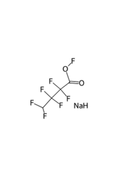 O=C(OF)C(F)(F)C(F)(F)C(F)F.[NaH]